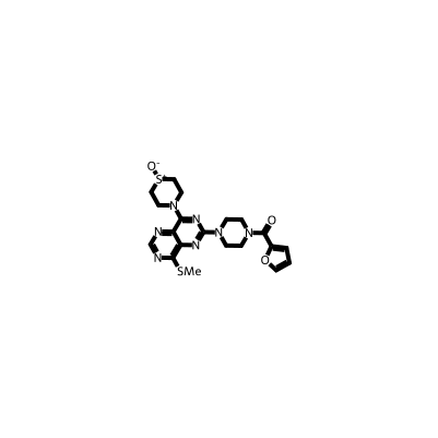 CSc1ncnc2c(N3CC[S+]([O-])CC3)nc(N3CCN(C(=O)c4ccco4)CC3)nc12